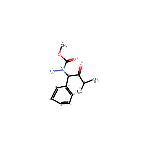 COC(=O)N(N)C(C(=O)C(C)C)c1ccccc1